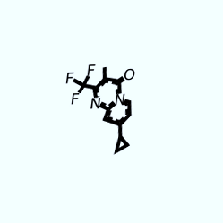 Cc1c(C(F)(F)F)nc2cc(C3CC3)ccn2c1=O